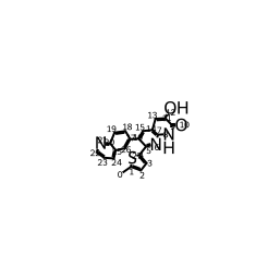 Cc1ccc(-c2nc3[nH]c(=O)c(O)cc3cc2-c2ccc3ncccc3c2)s1